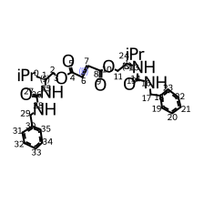 CC(C)[C@@H](COC(=O)/C=C/C(=O)OC[C@@H](NC(=O)NCc1ccccc1)C(C)C)NC(=O)NCc1ccccc1